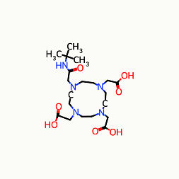 CC(C)(C)NC(=O)CN1CCN(CC(=O)O)CCN(CC(=O)O)CCN(CC(=O)O)CC1